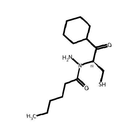 CCCCCC(=O)N(N)[C@H](CS)C(=O)[C]1CCCCC1